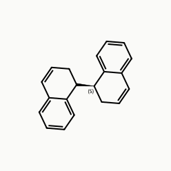 C1=Cc2ccccc2C([C@@H]2CC=Cc3ccccc32)C1